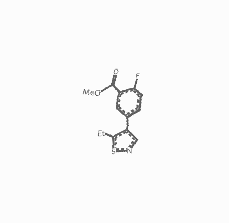 CCc1sncc1-c1ccc(F)c(C(=O)OC)c1